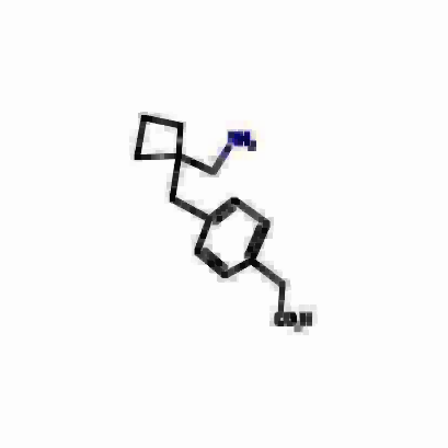 NCC1(Cc2ccc(CC(=O)O)cc2)CCC1